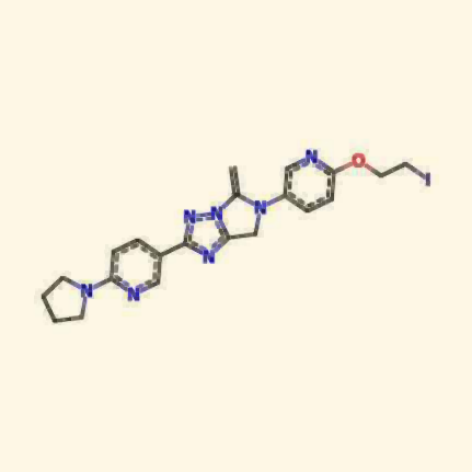 C=C1N(c2ccc(OCCI)nc2)Cc2nc(-c3ccc(N4CCCC4)nc3)nn21